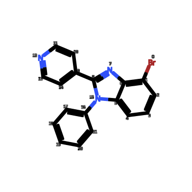 Brc1cccc2c1nc(-c1ccncc1)n2-c1ccccc1